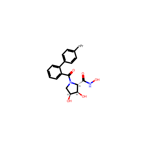 CCCc1ccc(-c2ccccc2C(=O)N2C[C@H](O)[C@H](O)[C@H]2C(=O)NO)cc1